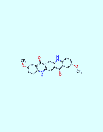 O=c1c2cc(OC(F)(F)F)ccc2[nH]c2cc3c(=O)c4cc(OC(F)(F)F)ccc4[nH]c3cc12